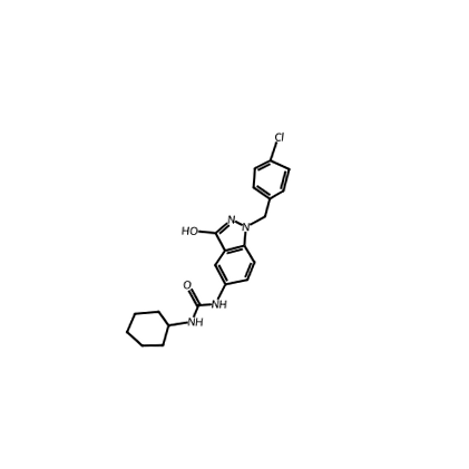 O=C(Nc1ccc2c(c1)c(O)nn2Cc1ccc(Cl)cc1)NC1CCCCC1